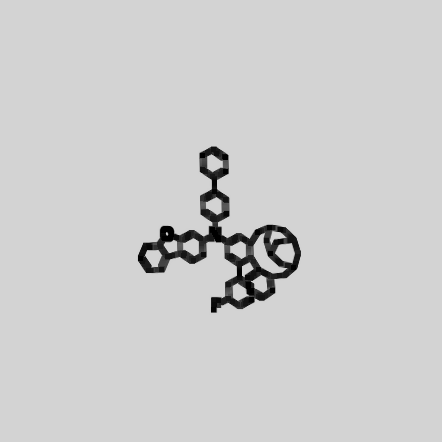 Fc1cccc(-c2cc(N(c3ccc(-c4ccccc4)cc3)c3ccc4c(c3)oc3ccccc34)cc3c2-c2ccccc2CC2CC4CC(C3)CC(C2)C4)c1